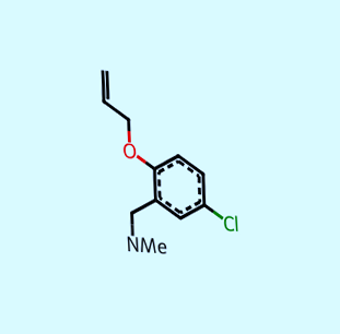 C=CCOc1ccc(Cl)cc1CNC